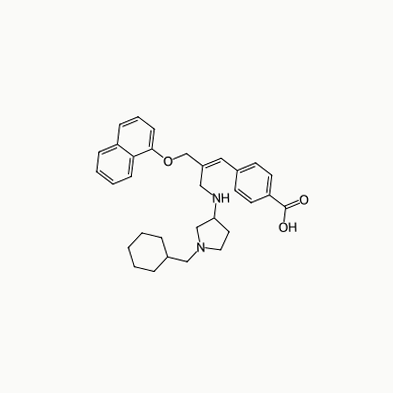 O=C(O)c1ccc(C=C(CNC2CCN(CC3CCCCC3)C2)COc2cccc3ccccc23)cc1